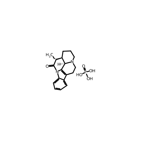 CC[C@@]12CCCN3CCc4c(n(c5ccccc45)C(=O)C1)[C@H]32.O=P(O)(O)O